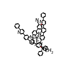 C=N/C(=C\C=C(/C)c1ccc2c3ccc(-c4ccc(-c5ccccc5)nc4)cc3n(-c3c(-c4cccc(C#N)c4)ccc(-n4c5cc(-c6ccc(-c7ccccc7)nc6)ccc5c5ccc(-c6ccc(-c7ccccc7)nc6)cc54)c3C(F)(F)F)c2c1)c1ccccc1